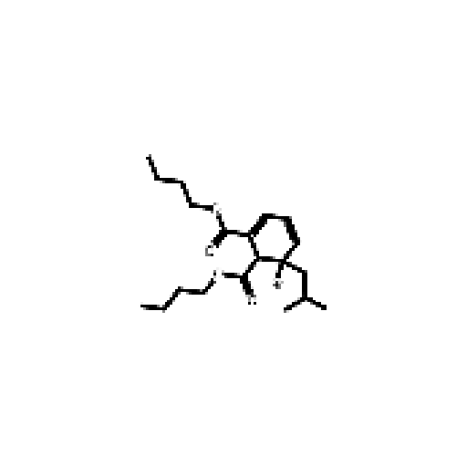 CCCCOC(=O)C1=CC=CC(Br)(CC(C)C)C1C(=O)OCCCC